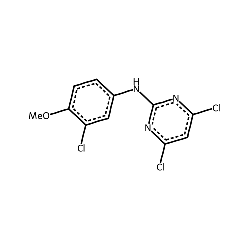 COc1ccc(Nc2nc(Cl)cc(Cl)n2)cc1Cl